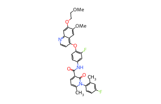 COCCOc1cc2nccc(Oc3ccc(NC(=O)c4ccc(C)n(-c5ccc(F)cc5C)c4=O)cc3F)c2cc1OC